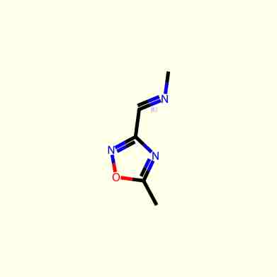 C/N=C/c1noc(C)n1